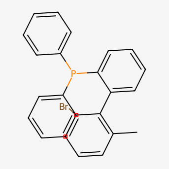 Cc1cccc(Br)c1-c1ccccc1P(c1ccccc1)c1ccccc1